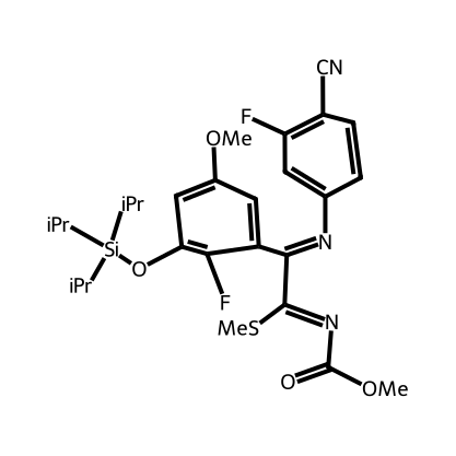 COC(=O)N=C(SC)C(=Nc1ccc(C#N)c(F)c1)c1cc(OC)cc(O[Si](C(C)C)(C(C)C)C(C)C)c1F